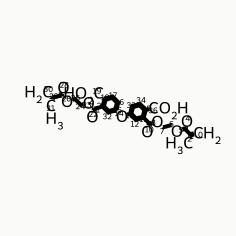 C=C(C)C(=O)OCCOC(=O)c1cc(Oc2ccc(C(=O)O)c(C(=O)OCCOC(=O)C(=C)C)c2)ccc1C(=O)O